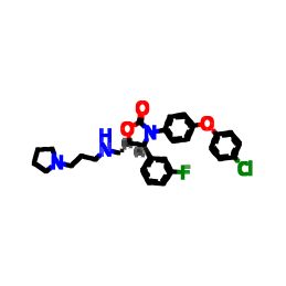 O=C1O[C@@H](CNCCCN2CCCC2)[C@H](c2cccc(F)c2)N1c1ccc(Oc2ccc(Cl)cc2)cc1